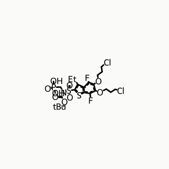 CCc1c(S(=O)(=O)N(CP(=O)(O)O)C(=O)OC(C)(C)C)sc2c(F)c(OCCCCl)c(OCCCCl)c(F)c12